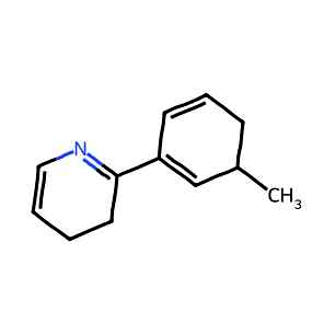 CC1C=C(C2=NC=CCC2)C=CC1